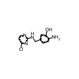 Nc1ccc(CNc2nccc(Cl)n2)cc1O